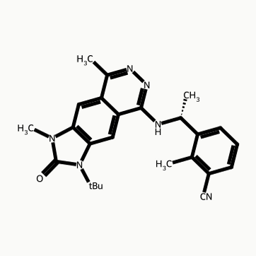 Cc1c(C#N)cccc1[C@@H](C)Nc1nnc(C)c2cc3c(cc12)n(C(C)(C)C)c(=O)n3C